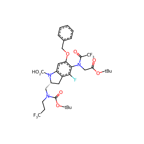 CC(C)(C)OC(=O)CN(C(=O)C(F)(F)F)c1c(OCc2ccccc2)cc2c(c1F)C[C@H](CN(CCC(F)(F)F)C(=O)OC(C)(C)C)N2C(=O)O